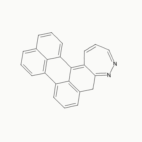 C1=CC2=c3c4cccc5cccc(c6cccc(c36)CC2=NN=C1)c54